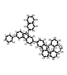 c1ccc(-c2ccc3c(c2)c2ccc(-c4ccc5c(c4)c4ccccc4n5-c4cccc5c4-c4ccccc4CO5)cc2n3-c2ccc3ccccc3c2)cc1